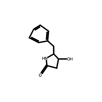 O=C1CC(O)C(Cc2ccccc2)N1